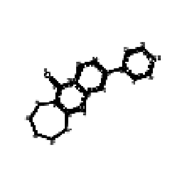 O=c1c2c(nc3cc(-c4ccncc4)ccn13)CCCCC2